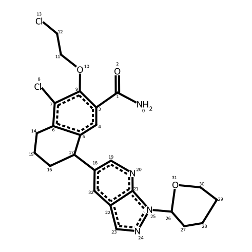 NC(=O)c1cc2c(c(Cl)c1OCCCl)CCCC2c1cnc2c(cnn2C2CCCCO2)c1